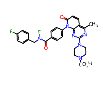 Cc1nc(N2CCN(C(=O)O)CC2)nc2c1ccc(=O)n2-c1ccc(C(=O)N(F)Cc2ccc(F)cc2)cc1